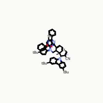 CC/C=C(/C#N)[C@H](n1c2ccc(C(C)(C)C)cc2c2cc(C(C)(C)C)ccc21)[C@@]1(C)C=CC=C(c2nc(-c3ccccc3)nc(-c3ccccc3)n2)C1Cn1c2ccc(C(C)(C)C)cc2c2cc(C(C)(C)C)ccc21